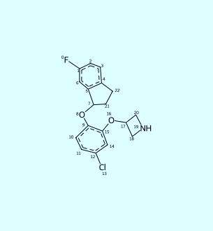 Fc1ccc2c(c1)C(Oc1ccc(Cl)cc1OC1CNC1)CC2